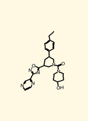 CCc1ccc(C2CC(c3nc(-c4cnccn4)no3)CN(C(=O)N3CCC(O)CC3)C2)cc1